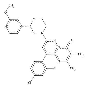 COc1cc([C@H]2CN(c3cc(-c4ccc(Cl)cc4F)c4nc(C)c(C)c(=O)n4n3)CCO2)ccn1